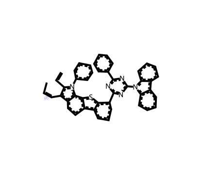 C=Cc1c(/C=C\C)c2ccc3c4cccc(-c5nc(-c6ccccc6)nc(-n6c7ccccc7c7ccccc76)n5)c4sc3c2n1-c1ccccc1